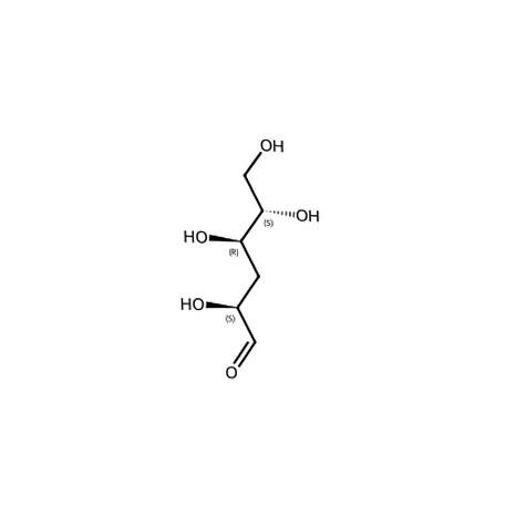 O=C[C@@H](O)C[C@@H](O)[C@@H](O)CO